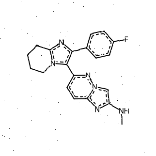 CNc1cn2nc(-c3c(-c4ccc(F)cc4)nc4n3CCCC4)ccc2n1